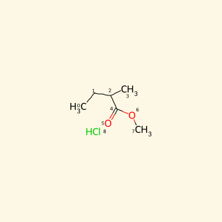 CCC(C)C(=O)OC.Cl